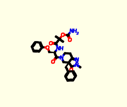 CN1N=C2CCN(C(=O)[C@@H](COc3ccccc3)NC(=O)C(C)(C)OC(N)=O)C[C@@]2(Cc2ccccc2)C1=O